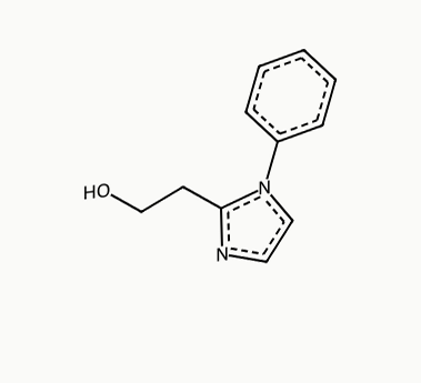 OCCc1nccn1-c1ccccc1